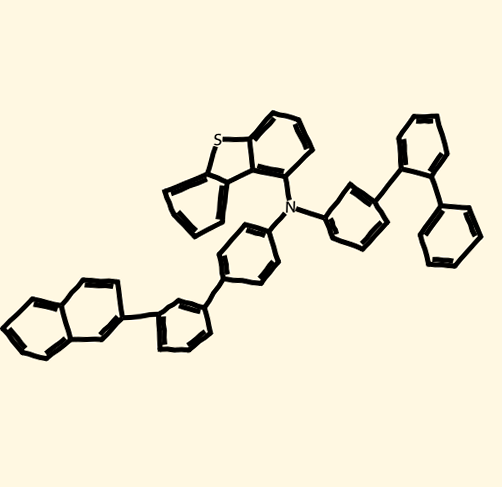 c1ccc(-c2ccccc2-c2cccc(N(c3ccc(-c4cccc(-c5ccc6ccccc6c5)c4)cc3)c3cccc4sc5ccccc5c34)c2)cc1